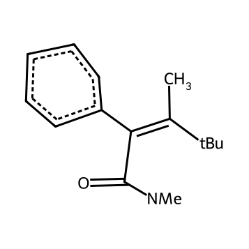 CNC(=O)C(=C(C)C(C)(C)C)c1ccccc1